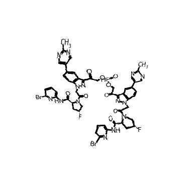 Cc1ncc(-c2ccc3c(c2)c(C(=O)CO[PH](=O)OCC(=O)c2nn(CC(=O)N4C[C@H](F)C[C@H]4C(=O)Nc4cccc(Br)n4)c4ccc(-c5cnc(C)nc5)cc24)nn3CC(=O)N2C[C@H](F)C[C@H]2C(=O)Nc2cccc(Br)n2)cn1